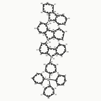 c1ccc([Si](c2ccccc2)(c2ccccc2)c2ccc(-n3c4ccccc4c4c(-n5c6ccccc6c6c(-n7c8ccccc8c8ccccc87)cccc65)cccc43)cc2)cc1